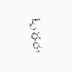 CCCCCCCC1CCC(c2ccc(-c3ccc(CCC)c(F)c3)c(F)c2F)CO1